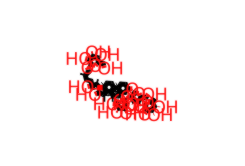 CC1O[C@@H](O[C@@H]2C(CO)O[C@@H](OC3CC[C@@]4(C)C(=CC[C@H]5[C@@H]6CC(O)[C@H]([C@H](C)C(C)(O)CC[C@@H](C)CO[C@@H]7OC(CO)[C@@H](O)[C@H](O)C7O)[C@@]6(C)CC[C@@H]54)C3)C(O[C@@H]3OC(O)[C@H](O)[C@H](O)C3O)[C@H]2O)C(O)[C@@H](O)[C@H]1O